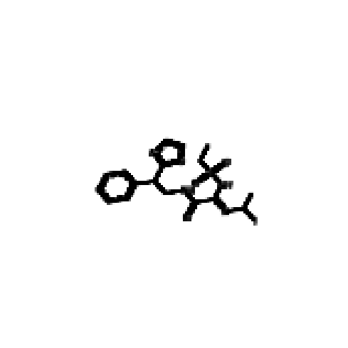 CCS(=O)(=O)N/C(=N\C(C)I)C(=O)NCC(c1ccccc1)c1ncco1